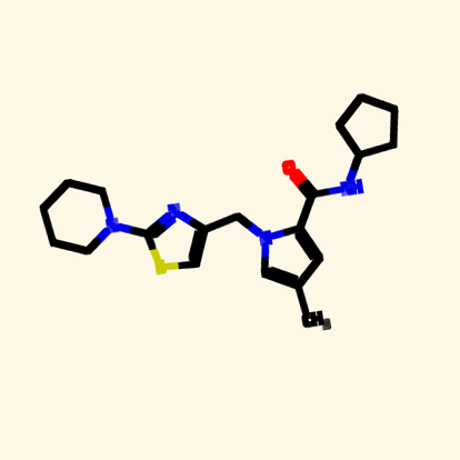 Cc1cc(C(=O)NC2CCCC2)n(Cc2csc(N3CCCCC3)n2)c1